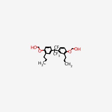 C=CCc1cc(C(c2ccc(OCO)c(CC=C)c2)(C(F)(F)F)C(F)(F)F)ccc1OCO